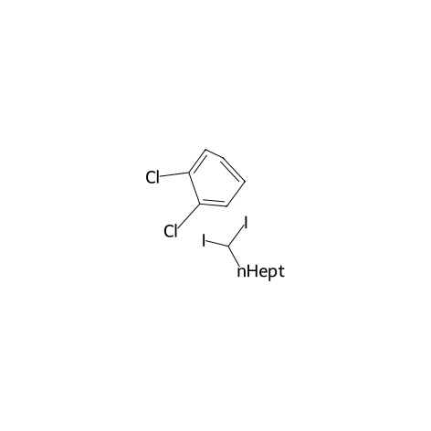 CCCCCCCC(I)I.Clc1ccccc1Cl